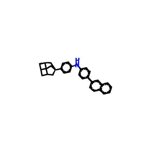 c1ccc2cc(-c3ccc(Nc4ccc(C56CC7CC8CC(C5)C87C6)cc4)cc3)ccc2c1